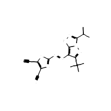 CC(C)c1n[nH]c2c(N=Nc3nc(C#N)c(C#N)[nH]3)c(C(C)(C)C)nn12